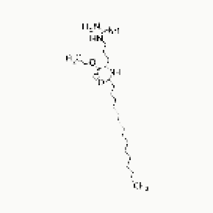 CCCCCCCCCCCCCCCC(=O)NC(CCCNC(=N)N)C(=O)OCC